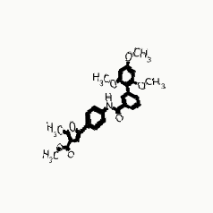 COC(=O)c1cc(-c2ccc(NC(=O)c3cccc(-c4c(OC)cc(OC)cc4OC)c3)cc2)oc1C